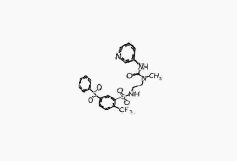 CN(CCNS(=O)(=O)c1cc(S(=O)(=O)c2ccccc2)ccc1C(F)(F)F)C(=O)Nc1cccnc1